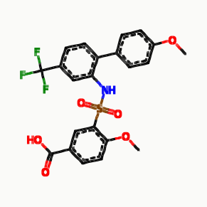 COc1ccc(-c2ccc(C(F)(F)F)cc2NS(=O)(=O)c2cc(C(=O)O)ccc2OC)cc1